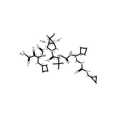 CC(C)(C)[C@H](NC(=O)N[C@H](COC(=O)OCC1CC1)C1CCC1)C(=O)N1C[C@H]2[C@@H]([C@H]1C(=O)NC(CC1CCC1)C(=O)C(N)=O)C2(C)C